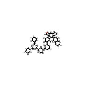 c1ccc(-c2nc(-c3ccccc3)nc(-c3cccc(-c4cccc(-c5cccc6c5Oc5c(ccc7ccccc57)C65c6ccccc6-c6ccccc65)c4)c3)n2)cc1